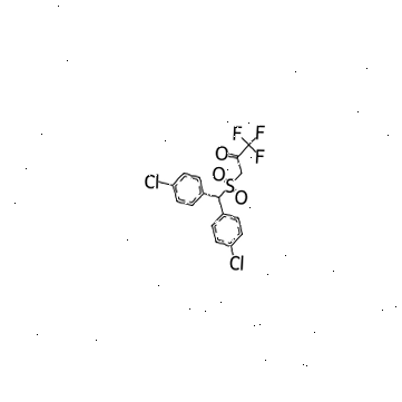 O=C(CS(=O)(=O)C(c1ccc(Cl)cc1)c1ccc(Cl)cc1)C(F)(F)F